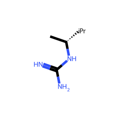 CC(C)[C@@H](C)NC(=N)N